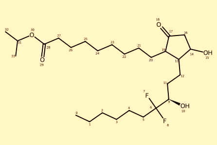 CCCCCCC(F)(F)[C@H](O)CCC1C(O)CC(=O)C1CCCCCCCCC(=O)OC(C)C